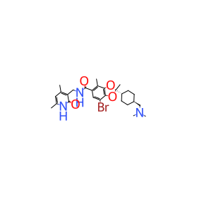 Cc1cc(C)c(CNC(=O)c2cc(Br)c3c(c2C)OC(C)([C@H]2CC[C@H](CN(C)C)CC2)O3)c(=O)[nH]1